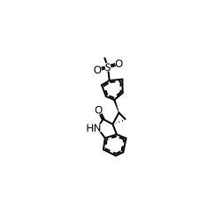 CS(=O)(=O)c1ccc([C@H]2C[C@]23C(=O)Nc2ccccc23)cc1